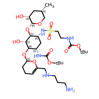 C[C@@H]1CO[C@H](O[C@@H]2[C@@H](O)[C@H](O[C@@H]3CCC=C(CNCCCN)O3)[C@@H](NC(=O)OC(C)(C)C)C[C@H]2NS(=O)(=O)CCNC(=O)OC(C)(C)C)[C@H](O)C1